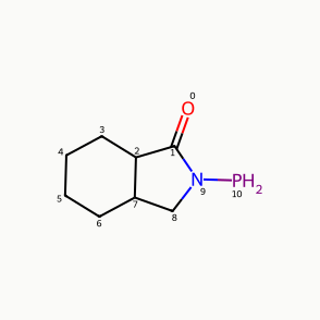 O=C1C2CCCCC2CN1P